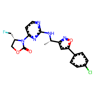 C[C@H](Nc1nccc(N2C(=O)OC[C@@H]2CF)n1)c1cc(-c2ccc(Cl)cc2)on1